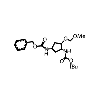 COCO[C@@H]1C[C@H](NC(=O)OCc2ccccc2)C[C@@H]1NC(=O)OC(C)(C)C